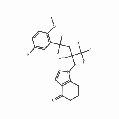 COc1ccc(F)cc1C(C)(C)CC(O)(Cn1ccc2c1CCCC2=O)C(F)(F)F